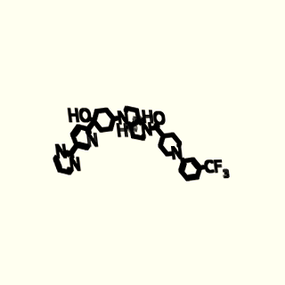 O=C(C1CCN(c2cccc(C(F)(F)F)c2)CC1)N1CC[C@@H]2[C@H]1CCN2C1CCC(O)(c2ccc(-c3ncccn3)cn2)CC1